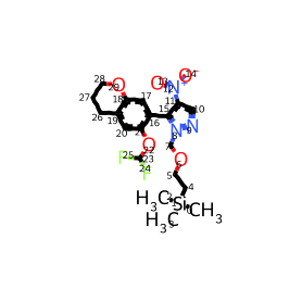 C[Si](C)(C)CCOCn1ncc([N+](=O)[O-])c1-c1cc2c(cc1OC(F)F)CCCO2